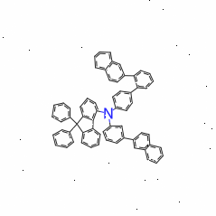 c1ccc(C2(c3ccccc3)c3ccccc3-c3c(N(c4ccc(-c5ccccc5-c5ccc6ccccc6c5)cc4)c4cccc(-c5ccc6ccccc6c5)c4)cccc32)cc1